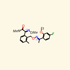 CCOc1cc(F)ccc1/C(C)=N/OCc1c(C)cccc1/C(=N\OC)C(=O)NC